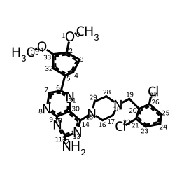 COc1ccc(-c2cnc3nc(N)nc(N4CCN(Cc5c(Cl)cccc5Cl)CC4)c3n2)cc1OC